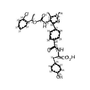 Cc1c(NC(=O)OC(C)c2ccccc2Cl)c(-c2ccc(C(=O)NC(Cc3ccc(O)cc3)C(=O)O)cc2)nn1C